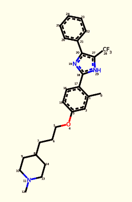 Cc1cc(OCCCC2CCN(C)CC2)ccc1-c1nc(-c2ccccc2)c(C(F)(F)F)[nH]1